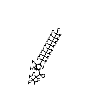 O=C(c1nc(C(F)(F)C(F)(F)C(F)(F)C(F)(F)C(F)(F)C(F)(F)C(F)(F)C(F)(F)F)c(F)[nH]1)C(F)(F)C(F)(F)F